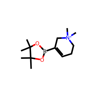 CC1(C)OB(C2=CCC[N+](C)(C)C2)OC1(C)C